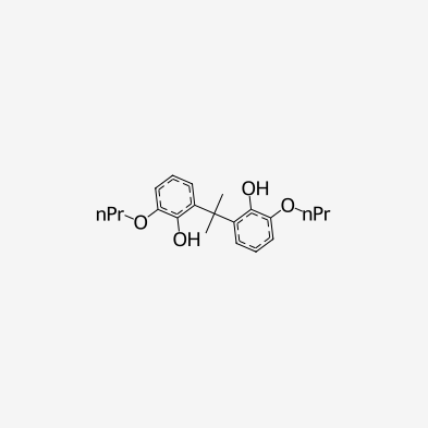 CCCOc1cccc(C(C)(C)c2cccc(OCCC)c2O)c1O